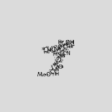 COc1ccc2c(c1)CCN(C1CCN(C(=NC#N)N[C@H](Cc3cc(Br)c(O)c(Br)c3)C(=O)N3CCC(N4CCCCC4)CC3)CC1)C(=O)N2